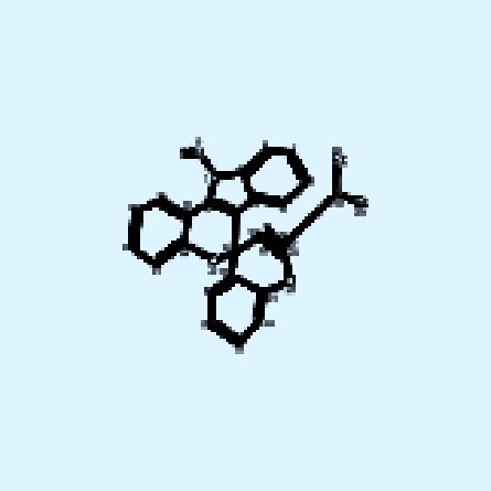 CCCCn1c2c(c3ccccc31)C1(Oc3ccccc3-2)c2ccccc2Oc2cc(N(CC)CC)ccc21